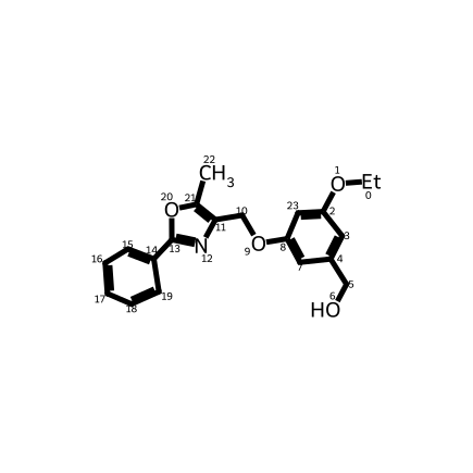 CCOc1cc(CO)cc(OCc2nc(-c3ccccc3)oc2C)c1